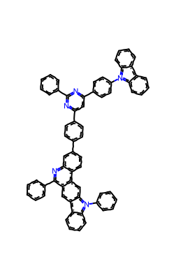 c1ccc(-c2nc(-c3ccc(-c4ccc5c(c4)nc(-c4ccccc4)c4cc6c7ccccc7n(-c7ccccc7)c6cc45)cc3)cc(-c3ccc(-n4c5ccccc5c5ccccc54)cc3)n2)cc1